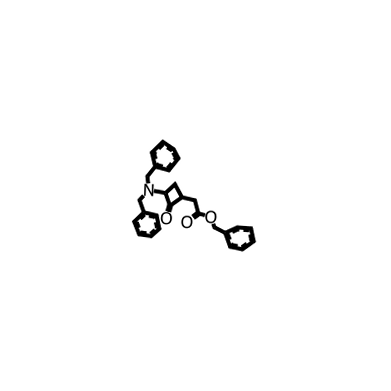 O=C(CC1CC(N(Cc2ccccc2)Cc2ccccc2)C1=O)OCc1ccccc1